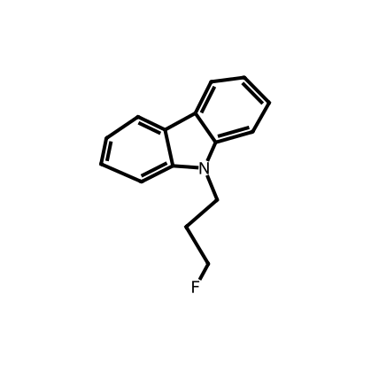 FCCCn1c2ccccc2c2ccccc21